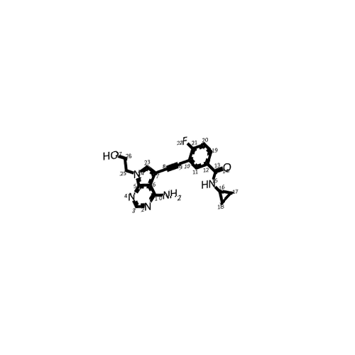 Nc1ncnc2c1c(C#Cc1cc(C(=O)NC3CC3)ccc1F)cn2CCO